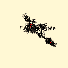 COC(=O)NC(C(=O)N[C@@H](Cc1ccc(C#Cc2cnc(N3CC4CCC(C3)N4C3COC3)nc2)cc1)[C@@H](O)CN(Cc1c(F)cc(-c2ccn(C(F)F)n2)cc1F)NC(=O)[C@@H](NC(=O)OC)C(C)(C)C(F)(F)F)C(C)(C)C(F)(F)F